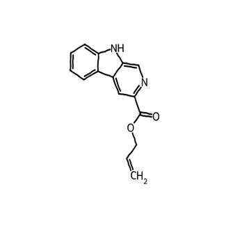 C=CCOC(=O)c1cc2c(cn1)[nH]c1ccccc12